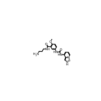 COc1ccc(NC(=O)NC2=CC=CN3SNC=C23)cc1C(=O)NCCCN